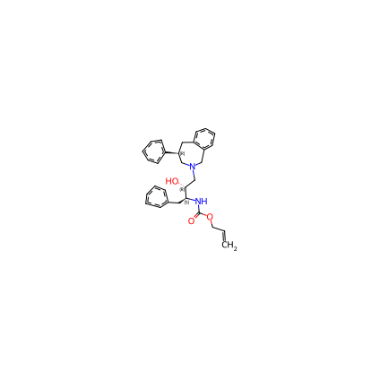 C=CCOC(=O)N[C@@H](Cc1ccccc1)[C@H](O)CN1Cc2ccccc2C[C@H](c2ccccc2)C1